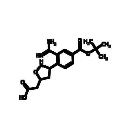 CC(C)(C)OC(=O)c1ccc(C2CC(CC(=O)O)ON2)c(C(=N)N)c1